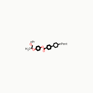 CCCCCC1CCC(c2ccc(C(=O)Oc3ccc(O[C@@H](C)COCCC)cc3)cc2)CC1